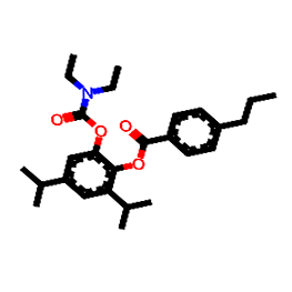 CCCc1ccc(C(=O)Oc2c(OC(=O)N(CC)CC)cc(C(C)C)cc2C(C)C)cc1